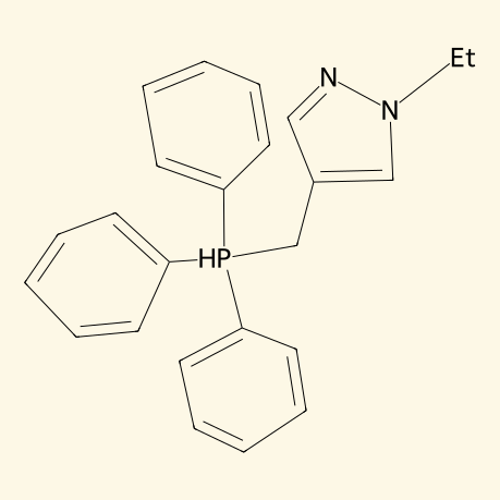 CCn1cc(C[PH](c2ccccc2)(c2ccccc2)c2ccccc2)cn1